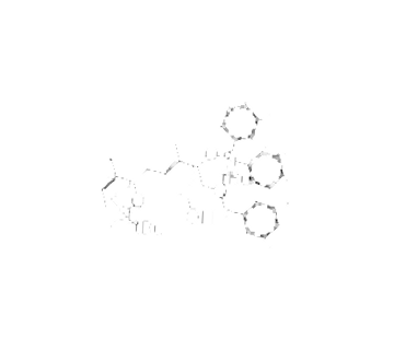 C/C=C(/C)[C@@H](C/C=C(\C)[C@@H](O[Si](c1ccccc1)(c1ccccc1)C(C)(C)C)[C@@H](CO)OCc1ccccc1)O[Si](C)(C)C(C)(C)C